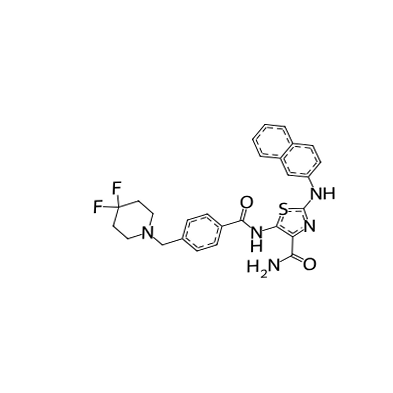 NC(=O)c1nc(Nc2ccc3ccccc3c2)sc1NC(=O)c1ccc(CN2CCC(F)(F)CC2)cc1